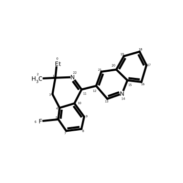 CCC1(C)Cc2c(F)cccc2C(c2cnc3ccccc3c2)=N1